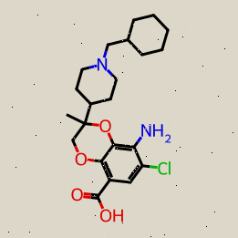 CC1(C2CCN(CC3CCCCC3)CC2)COc2c(C(=O)O)cc(Cl)c(N)c2O1